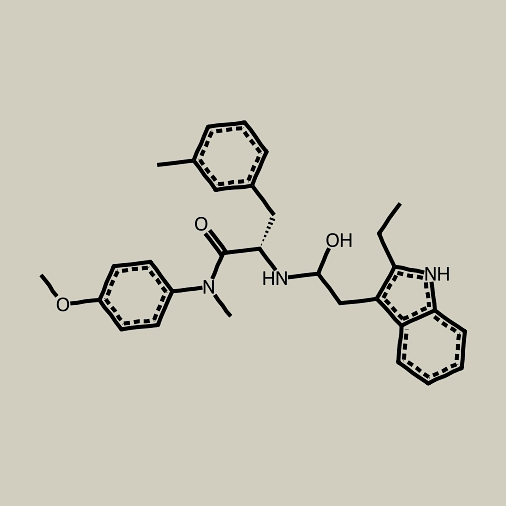 CCc1[nH]c2ccccc2c1CC(O)N[C@@H](Cc1cccc(C)c1)C(=O)N(C)c1ccc(OC)cc1